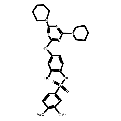 COc1ccc(S(=O)(=O)Nc2ccc(Nc3nc(N4CCCCC4)nc(N4CCCCC4)n3)cc2O)cc1OC